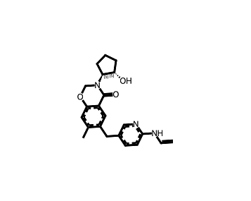 C=CNc1ccc(Cc2cc3c(cc2C)OCN([C@H]2CCC[C@@H]2O)C3=O)cn1